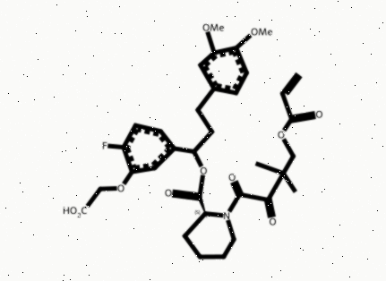 C=CC(=O)OCC(C)(C)C(=O)C(=O)N1CCCC[C@H]1C(=O)OC(CCc1ccc(OC)c(OC)c1)c1ccc(F)c(OCC(=O)O)c1